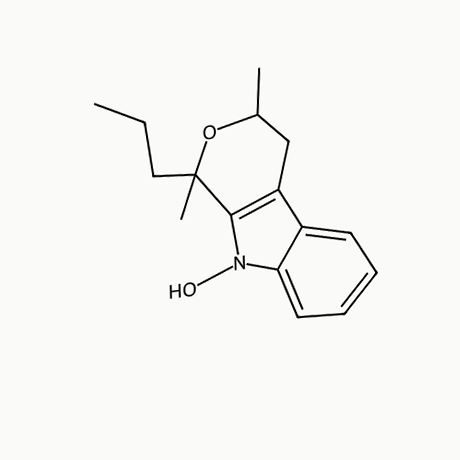 CCCC1(C)OC(C)Cc2c1n(O)c1ccccc21